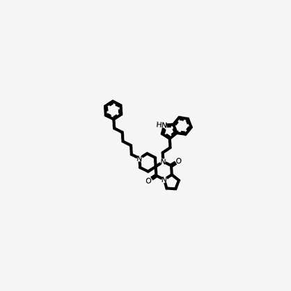 O=C1C2CCCN2C(=O)C2(CCN(CCCCCc3ccccc3)CC2)N1CCc1c[nH]c2ccccc12